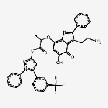 CC(OC1=C2N=C(c3ccccc3)C(CCN)=C2C(=O)C(O)=C1)C(=O)Oc1cc(-c2cccc(C(F)(F)F)c2)n(-c2ccccc2)n1